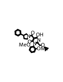 COc1cccc(OC)c1-n1c(COC2CC2)nc(O)c(C(=O)N2CCC(c3ccccc3)C2)c1=O